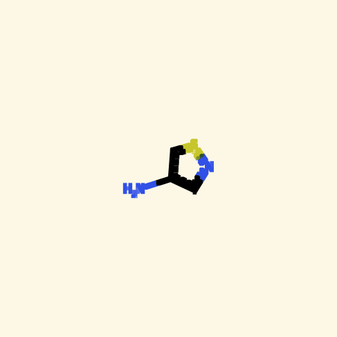 Nc1[c]nsc1